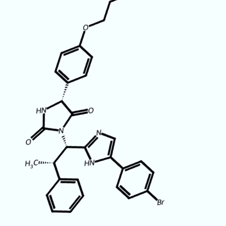 C[C@@H](c1ccccc1)[C@@H](c1ncc(-c2ccc(Br)cc2)[nH]1)N1C(=O)N[C@H](c2ccc(OCCO)cc2)C1=O